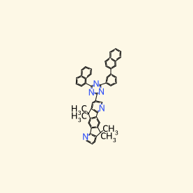 CC1(C)c2cc3c(cc2-c2ncccc21)C(C)(C)c1cc(-c2nc(-c4cccc(-c5ccc6ccccc6c5)c4)nc(-c4cccc5ccccc45)n2)cnc1-3